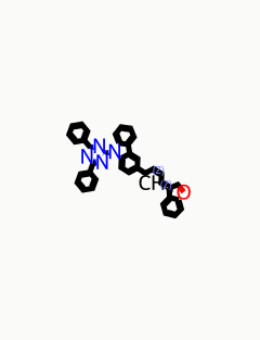 C=C(/C=C\C=C1/COc2ccccc21)c1ccc2c(c1)c1ccccc1n2-c1nc(-c2ccccc2)nc(-c2ccccc2)n1